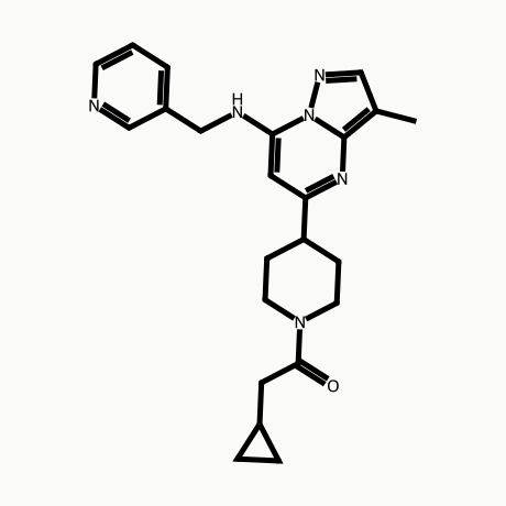 Cc1cnn2c(NCc3cccnc3)cc(C3CCN(C(=O)CC4CC4)CC3)nc12